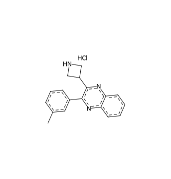 Cc1cccc(-c2nc3ccccc3nc2C2CNC2)c1.Cl